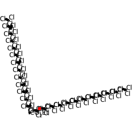 CCOC(C)=O.ClC(Cl)Cl.ClC(Cl)Cl.ClC(Cl)Cl.ClC(Cl)Cl.ClC(Cl)Cl.ClC(Cl)Cl.ClC(Cl)Cl.ClC(Cl)Cl.ClC(Cl)Cl.ClC(Cl)Cl.ClC(Cl)Cl.ClC(Cl)Cl.ClC(Cl)Cl.ClC(Cl)Cl.ClC(Cl)Cl.ClC(Cl)Cl.ClC(Cl)Cl.ClC(Cl)Cl.ClC(Cl)Cl.ClC(Cl)Cl.ClC(Cl)Cl.ClC(Cl)Cl.ClC(Cl)Cl.ClC(Cl)Cl.ClC(Cl)Cl